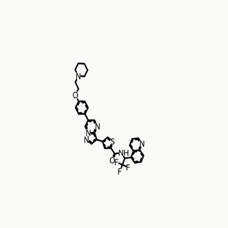 O=C(NC(c1cccc2ncccc12)C(F)(F)F)c1cc(-c2cnn3cc(-c4ccc(OCCN5CCCCC5)cc4)cnc23)cs1